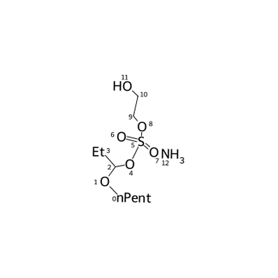 CCCCCOC(CC)OS(=O)(=O)OCCO.N